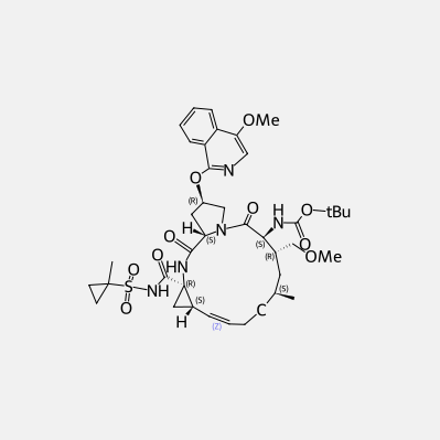 COC[C@@H]1C[C@@H](C)CC/C=C\[C@@H]2C[C@@]2(C(=O)NS(=O)(=O)C2(C)CC2)NC(=O)[C@@H]2C[C@@H](Oc3ncc(OC)c4ccccc34)CN2C(=O)[C@H]1NC(=O)OC(C)(C)C